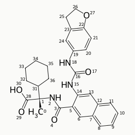 C[C@@](NC(=O)c1cc2ccccc2cc1NC(=O)Nc1ccc2c(c1)CCO2)(C(=O)O)C1CCCCC1